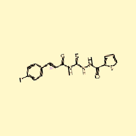 O=C(/C=C/c1ccc(F)cc1)NC(=S)NNC(=O)c1cccs1